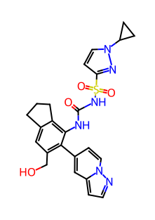 O=C(Nc1c2c(cc(CO)c1-c1ccn3nccc3c1)CCC2)NS(=O)(=O)c1ccn(C2CC2)n1